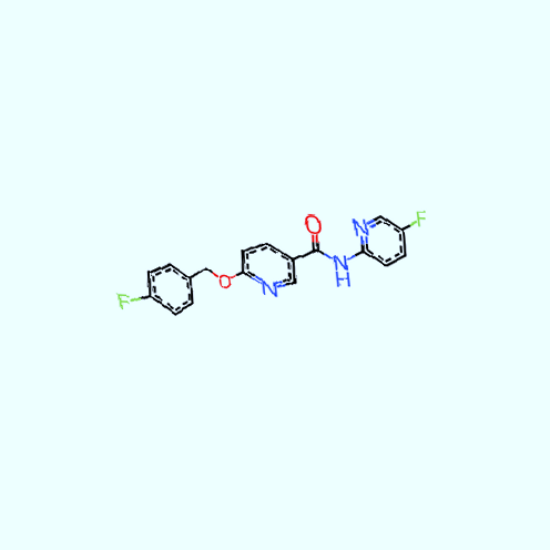 O=C(Nc1ccc(F)cn1)c1ccc(OCc2ccc(F)cc2)nc1